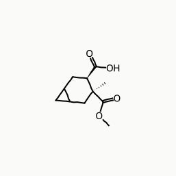 COC(=O)[C@@]1(C)CC2CC2C[C@H]1C(=O)O